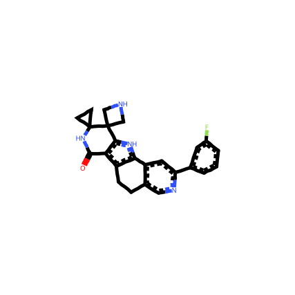 O=C1NC2(CC2)C2(CNC2)c2[nH]c3c(c21)CCc1cnc(-c2cccc(F)c2)cc1-3